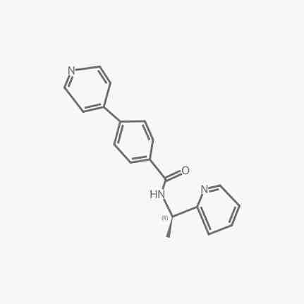 C[C@@H](NC(=O)c1ccc(-c2ccncc2)cc1)c1ccccn1